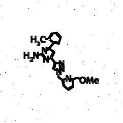 COCc1cccc(Cn2cc(-c3cc(-c4ccccc4C)nc(N)n3)nn2)n1